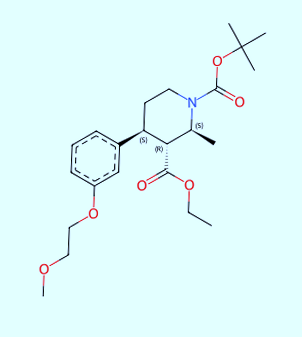 CCOC(=O)[C@@H]1[C@@H](c2cccc(OCCOC)c2)CCN(C(=O)OC(C)(C)C)[C@H]1C